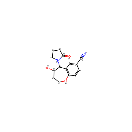 N#Cc1ccc2c(c1)C(N1CCCC1=O)C(O)CCO2